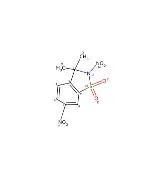 CC1(C)c2ccc([N+](=O)[O-])cc2S(=O)(=O)N1[N+](=O)[O-]